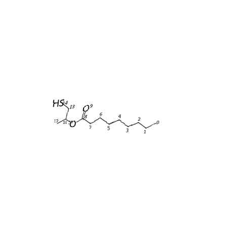 CCCCCCCCC(=O)OC(C)CS